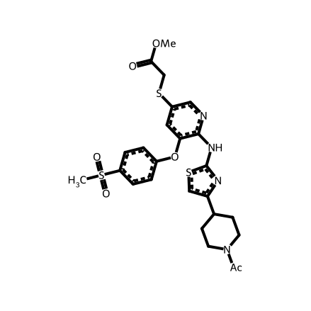 COC(=O)CSc1cnc(Nc2nc(C3CCN(C(C)=O)CC3)cs2)c(Oc2ccc(S(C)(=O)=O)cc2)c1